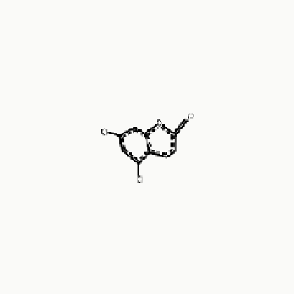 O=c1ccc2c(Cl)cc(Cl)cc2o1